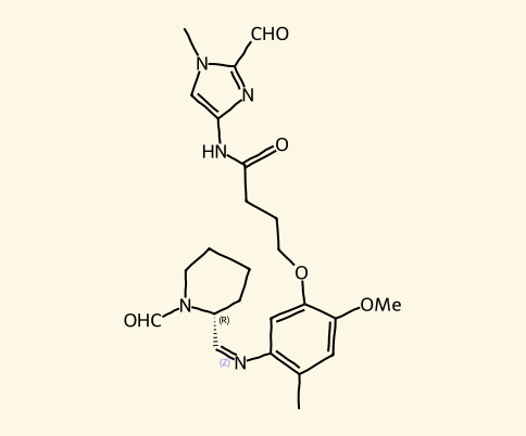 COc1cc(C)c(/N=C\[C@H]2CCCCN2C=O)cc1OCCCC(=O)Nc1cn(C)c(C=O)n1